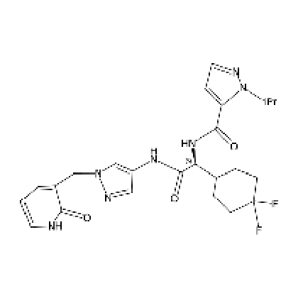 CC(C)n1nccc1C(=O)N[C@H](C(=O)Nc1cnn(Cc2ccc[nH]c2=O)c1)C1CCC(F)(F)CC1